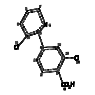 O=C(O)c1ccc(-c2ncccc2Cl)cc1Cl